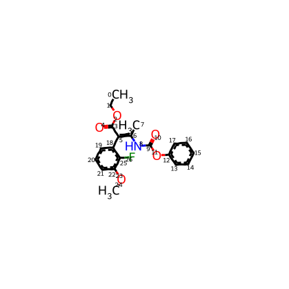 CCOC(=O)/C(=C(\C)NC(=O)Oc1ccccc1)c1cccc(OC)c1F